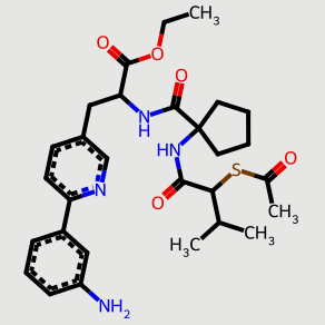 CCOC(=O)C(Cc1ccc(-c2cccc(N)c2)nc1)NC(=O)C1(NC(=O)C(SC(C)=O)C(C)C)CCCC1